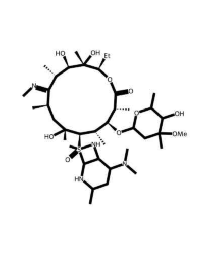 CC[C@H]1OC(=O)[C@H](C)[C@@H](OC2CC(C)(OC)C(O)C(C)O2)[C@H](C)[C@@H](S2(C)(=O)NC3C(N(C)C)CC(C)NC32)[C@](C)(O)C[C@@H](C)/C(=N\C)[C@H](C)[C@@H](O)[C@]1(C)O